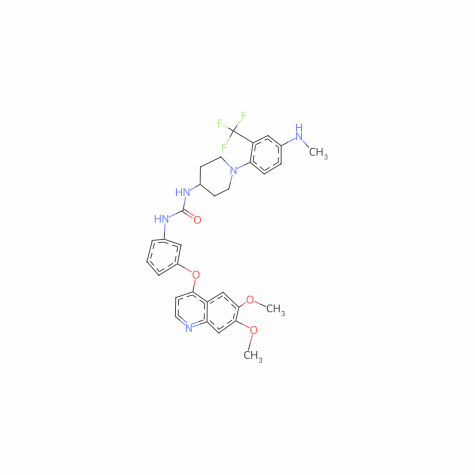 CNc1ccc(N2CCC(NC(=O)Nc3cccc(Oc4ccnc5cc(OC)c(OC)cc45)c3)CC2)c(C(F)(F)F)c1